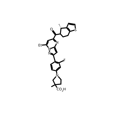 CCc1cc(C(=O)C2CCc3sccc3[C@H]2C)nc2cc(-c3ccc(N4CCC(C)(C(=O)O)C4)cc3F)nn12